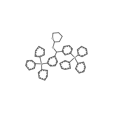 c1ccc([Si](c2ccccc2)(c2ccccc2)c2cccc(C(OC3CCCCO3)c3cccc([Si](c4ccccc4)(c4ccccc4)c4ccccc4)c3)c2)cc1